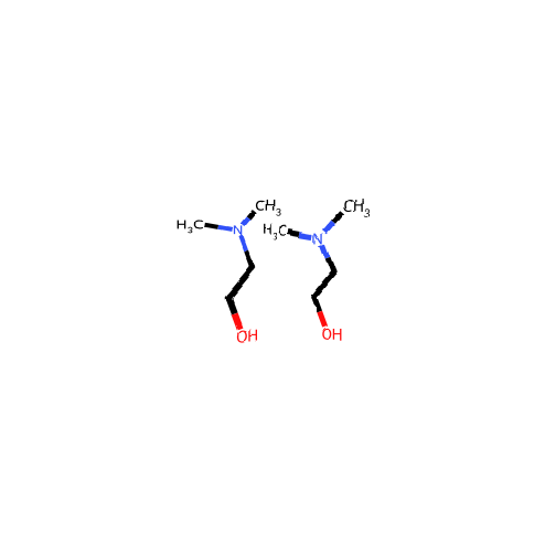 CN(C)CCO.CN(C)CCO